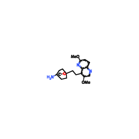 COc1ccc2ncc(OC)c(CCC34CCC(N)(CC3)CO4)c2n1